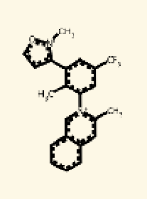 Cc1c(-c2cco[n+]2C)cc(C(F)(F)F)cc1-[n+]1cc2ccccc2cc1C